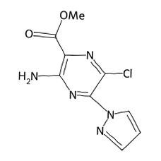 COC(=O)c1nc(Cl)c(-n2cccn2)nc1N